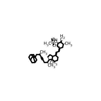 C=C1[C@H](C)C/C(=C/C=C2\CCC[C@@]3(C)C2CC[C@@H]3[C@H](C)CC#CC(C)CC23CC4CC(CC(C4)C2)C3)C[C@H]1O[Si](C)(C)C(C)(C)C